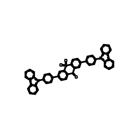 O=C1c2cc(-c3ccc(-n4c5ccccc5c5ccccc54)cc3)ccc2S(=O)(=O)c2cc(-c3ccc(-n4c5ccccc5c5ccccc54)cc3)ccc21